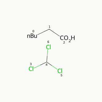 CCCCCC(=O)O.ClC(Cl)Cl